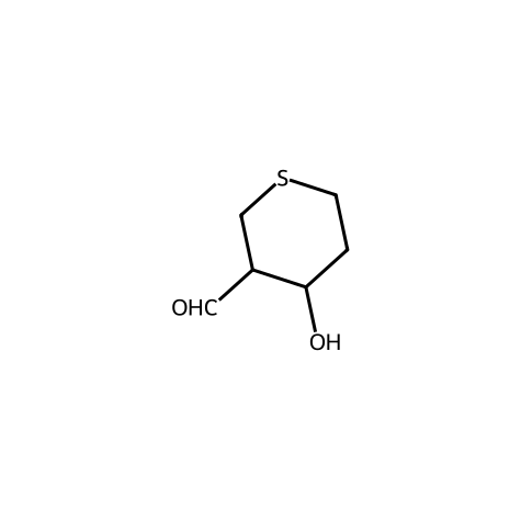 O=CC1CSCCC1O